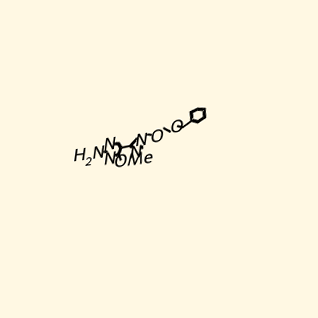 COc1nc(N)ncc1-c1cn(COCCOCc2ccccc2)cn1